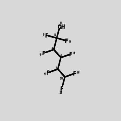 OC(F)(F)C(F)C(F)C(F)C(F)F